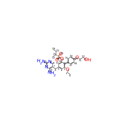 CCOc1cc(Cc2cnc(N)nc2N)cc(OS(=O)(=O)C(C)CC)c1-c1ccc(OCCO)cc1